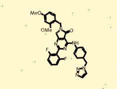 COc1ccc(CN2Cc3nc(-c4c(F)cccc4F)nc(NC4=CCC(Cn5ccnn5)C=C4)c3C2=O)c(OC)c1